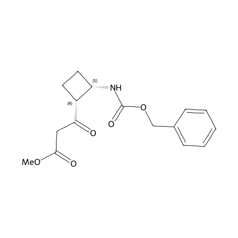 COC(=O)CC(=O)[C@@H]1CC[C@@H]1NC(=O)OCc1ccccc1